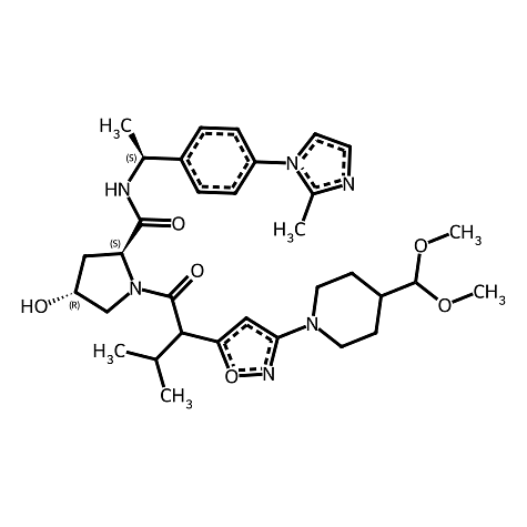 COC(OC)C1CCN(c2cc(C(C(=O)N3C[C@H](O)C[C@H]3C(=O)N[C@@H](C)c3ccc(-n4ccnc4C)cc3)C(C)C)on2)CC1